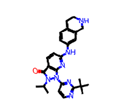 CC(C)n1c(=O)c2ccc(Nc3ccc4c(c3)CNCC4)nc2n1-c1ccnc(C(C)(C)C)n1